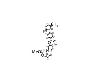 COC(=O)CC(c1ccc2c(c1)OC(c1ccc(-c3cc(C)ccc3F)cc1)CC2)C1CCC1